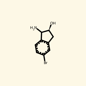 NC1c2ccc(Br)cc2C[C@@H]1O